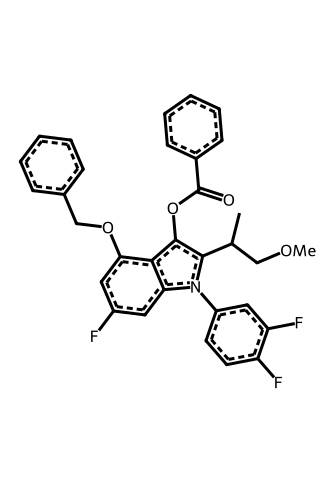 COCC(C)c1c(OC(=O)c2ccccc2)c2c(OCc3ccccc3)cc(F)cc2n1-c1ccc(F)c(F)c1